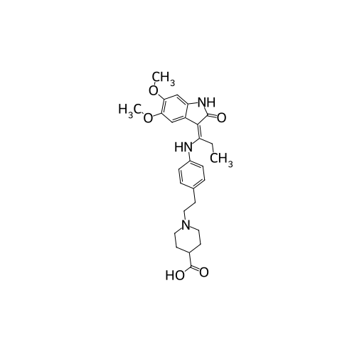 CCC(Nc1ccc(CCN2CCC(C(=O)O)CC2)cc1)=C1C(=O)Nc2cc(OC)c(OC)cc21